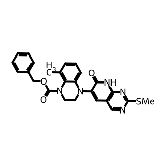 CSc1ncc2cc(N3CCN(C(=O)OCc4ccccc4)c4c(C)cccc43)c(=O)[nH]c2n1